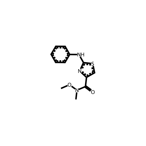 CON(C)C(=O)c1csc(Nc2ccccc2)n1